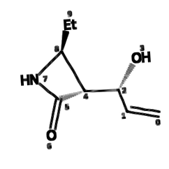 C=C[C@@H](O)[C@@H]1C(=O)N[C@H]1CC